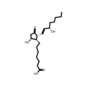 CCCCC[C@H](O)C=C[C@H]1C(=O)C[C@H](O)[C@@H]1CCCCCCC(=O)O